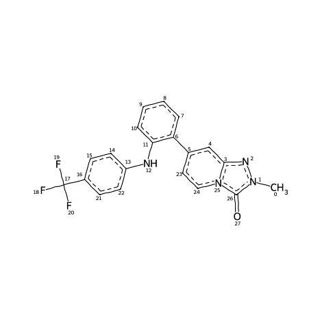 Cn1nc2cc(-c3ccccc3Nc3ccc(C(F)(F)F)cc3)ccn2c1=O